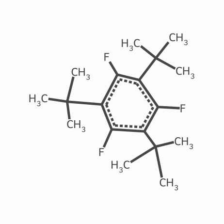 CC(C)(C)c1c(F)c(C(C)(C)C)c(F)c(C(C)(C)C)c1F